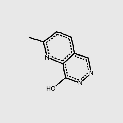 Cc1ccc2cnnc(O)c2n1